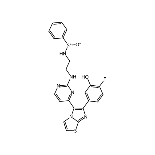 [O-][S+](NCCNc1nccc(-c2c(-c3ccc(F)c(O)c3)nc3sccn23)n1)c1ccccc1